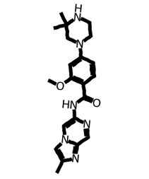 COc1cc(N2CCNC(C)(C)C2)ccc1C(=O)Nc1cn2cc(C)nc2cn1